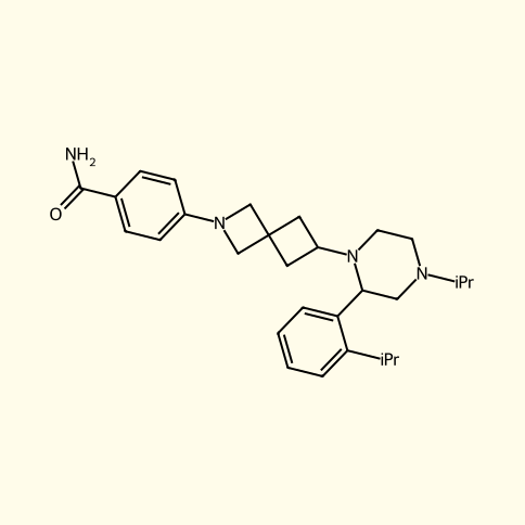 CC(C)c1ccccc1C1CN(C(C)C)CCN1C1CC2(C1)CN(c1ccc(C(N)=O)cc1)C2